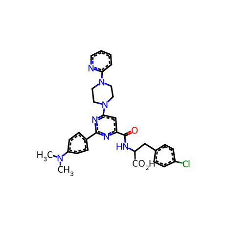 CN(C)c1ccc(-c2nc(C(=O)NC(Cc3ccc(Cl)cc3)C(=O)O)cc(N3CCN(c4ccccn4)CC3)n2)cc1